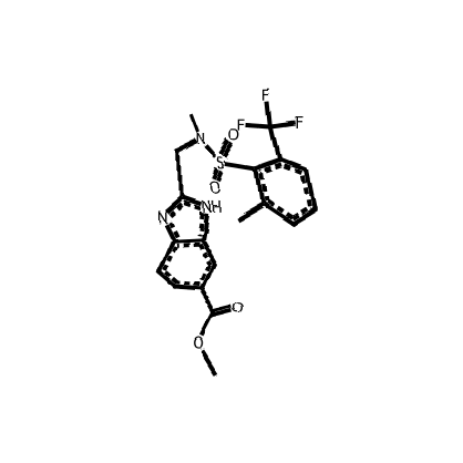 COC(=O)c1ccc2nc(CN(C)S(=O)(=O)c3c(C)cccc3C(F)(F)F)[nH]c2c1